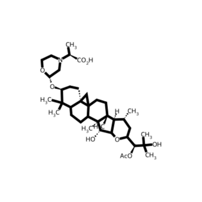 CC(=O)O[C@@H](C1C[C@@H](C)[C@H]2C(O1)[C@H](O)[C@@]1(C)C3CCC4C(C)(C)[C@@H](O[C@H]5CN([C@@H](C)C(=O)O)CCO5)CC[C@@]45CC35CC[C@]21C)C(C)(C)O